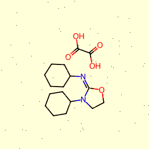 C1CCC(/N=C2/OCCN2C2CCCCC2)CC1.O=C(O)C(=O)O